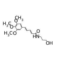 COc1cc(C=CC=CC(=O)NCCCO)cc(OC)c1OC